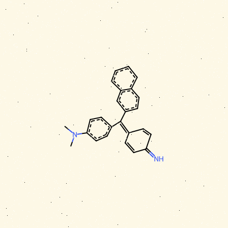 CN(C)c1ccc(C(=C2C=CC(=N)C=C2)c2ccc3ccccc3c2)cc1